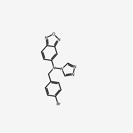 Brc1ccc(CN(c2ccc3nonc3c2)n2cnnc2)cc1